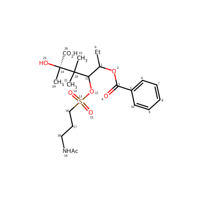 CCC(OC(=O)c1ccccc1)C(OS(=O)(=O)CCCNC(C)=O)C(C)(C)[C@@](C)(O)C(=O)O